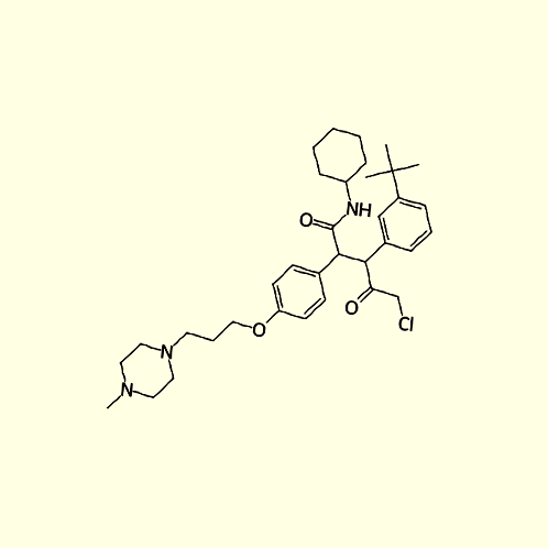 CN1CCN(CCCOc2ccc(C(C(=O)NC3CCCCC3)C(C(=O)CCl)c3cccc(C(C)(C)C)c3)cc2)CC1